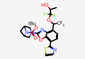 CC(O)C(F)(F)OC(c1ccc(-c2nccs2)c2oc(N3CC4CC(C3)N4C(=O)OC(C)(C)C)nc12)C(F)(F)F